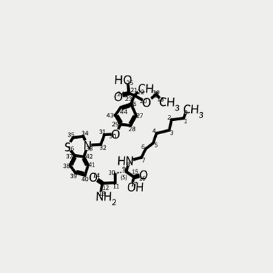 CCCCCCCCN[C@@H](CCC(N)=O)C(=O)O.CCOC(C)(C(=O)O)c1ccc(OCCN2CCSc3ccccc32)cc1